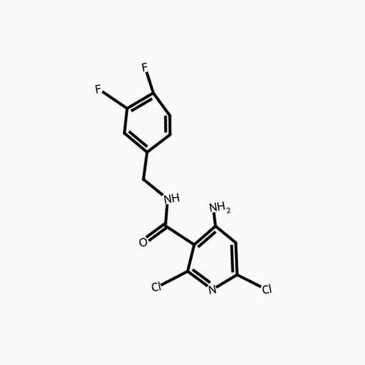 Nc1cc(Cl)nc(Cl)c1C(=O)NCc1ccc(F)c(F)c1